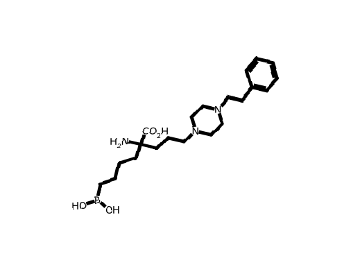 NC(CCCCB(O)O)(CCCN1CCN(CCc2ccccc2)CC1)C(=O)O